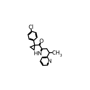 CC(CC(=N)C(=O)C1(c2ccc(Cl)cc2)CC1)c1ccccn1